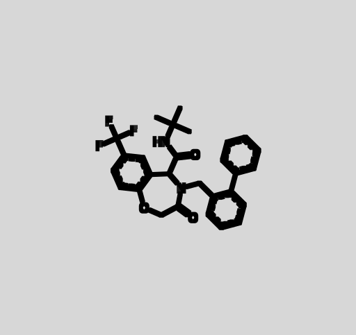 CC(C)(C)NC(=O)C1c2cc(C(F)(F)F)ccc2OCC(=O)N1Cc1ccccc1-c1ccccc1